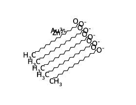 CCCCCCCCCCCCCCCCCC(=O)[O-].CCCCCCCCCCCCCCCCCC(=O)[O-].CCCCCCCCCCCCCCCCCC(=O)[O-].CCCCCCCCCCCCCCCCCC(=O)[O-].CCCCCCCCCCCCCCCCCC(=O)[O-].[Au+3].[Zn+2]